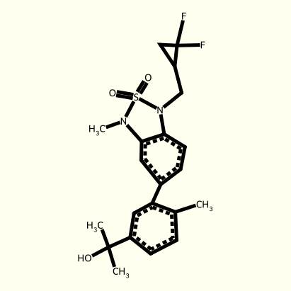 Cc1ccc(C(C)(C)O)cc1-c1ccc2c(c1)N(C)S(=O)(=O)N2CC1CC1(F)F